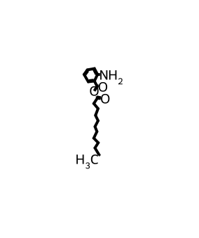 CCCCCCCCCCCC(=O)OC(=O)c1ccccc1N